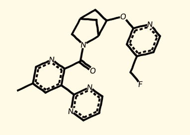 Cc1cnc(C(=O)N2CC3CC(Oc4cc(CF)ccn4)C2C3)c(-c2ncccn2)c1